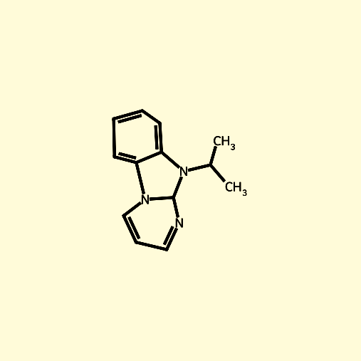 CC(C)N1c2ccccc2N2C=CC=NC21